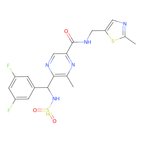 Cc1ncc(CNC(=O)c2cnc(C(N[SH](=O)=O)c3cc(F)cc(F)c3)c(C)n2)s1